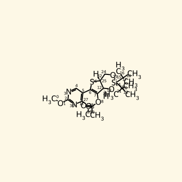 COc1ncc(C2=C(OC(C)=O)[C@@H]3O[Si](C(C)(C)C)(C(C)(C)C)OC[C@H]3S2)c(OC)n1